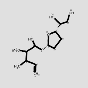 C=CC(C)C(OC)C(O)C[C@H]1CC[C@@H](C(O)CO)O1